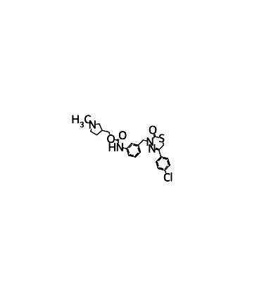 CN1CCC(COC(=O)Nc2cccc(CN3N=C(c4ccc(Cl)cc4)CSC3=O)c2)C1